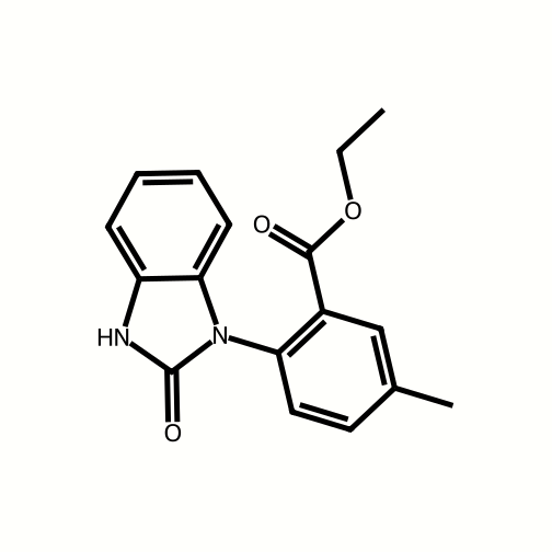 CCOC(=O)c1cc(C)ccc1-n1c(=O)[nH]c2ccccc21